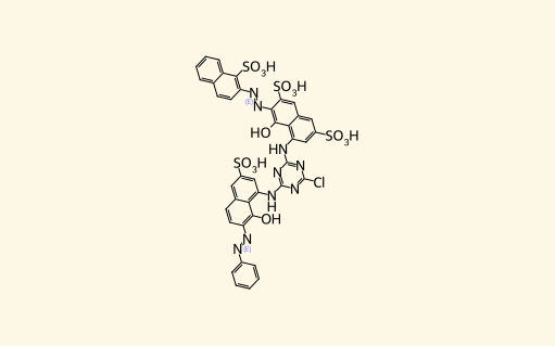 O=S(=O)(O)c1cc(Nc2nc(Cl)nc(Nc3cc(S(=O)(=O)O)cc4cc(S(=O)(=O)O)c(/N=N/c5ccc6ccccc6c5S(=O)(=O)O)c(O)c34)n2)c2c(O)c(/N=N/c3ccccc3)ccc2c1